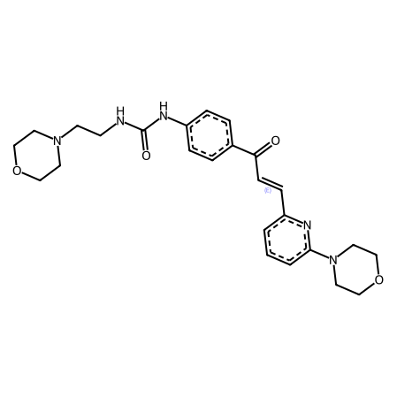 O=C(NCCN1CCOCC1)Nc1ccc(C(=O)/C=C/c2cccc(N3CCOCC3)n2)cc1